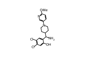 COc1ccc(N2CCC(C(N)c3cc(Cl)c(Cl)cc3O)CC2)cn1